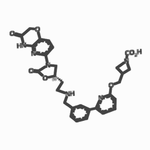 O=C1COc2ccc(N3C[C@H](CCNCc4cccc(-c5cccc(OCC6CN(C(=O)O)C6)n5)c4)OC3=O)nc2N1